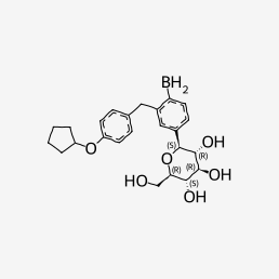 Bc1ccc([C@@H]2O[C@H](CO)[C@@H](O)[C@H](O)[C@H]2O)cc1Cc1ccc(OC2CCCC2)cc1